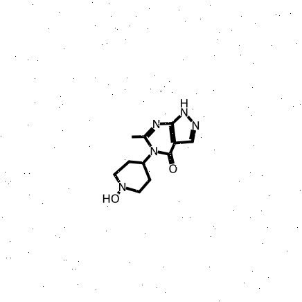 Cc1nc2[nH]ncc2c(=O)n1C1CCN(O)CC1